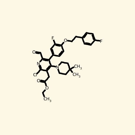 CCOC(=O)Cc1c(Cl)nc(C=O)c(-c2ccc(OCCc3ccc(F)cc3)c(F)c2)c1N1CCC(C)(C)CC1